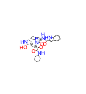 O=C(NC1CCCCC1)C(=O)[C@H](C[C@@H]1CCNC1O)NC(=O)[C@H](CC1CCC1)NC(=O)c1cc2ccccc2[nH]1